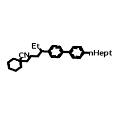 CCCCCCCc1ccc(-c2ccc(C(CC)CCCC3(C#N)CCCCC3)cc2)cc1